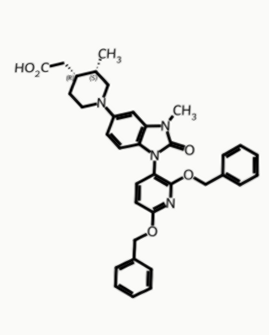 C[C@@H]1CN(c2ccc3c(c2)n(C)c(=O)n3-c2ccc(OCc3ccccc3)nc2OCc2ccccc2)CC[C@@H]1CC(=O)O